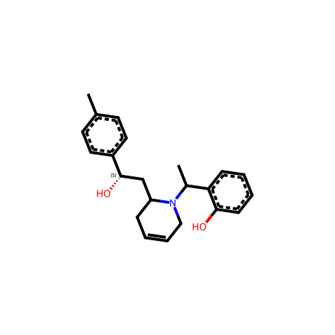 Cc1ccc([C@@H](O)CC2CC=CCN2C(C)c2ccccc2O)cc1